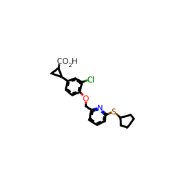 O=C(O)C1CC1c1ccc(OCc2cccc(SC3CCCC3)n2)c(Cl)c1